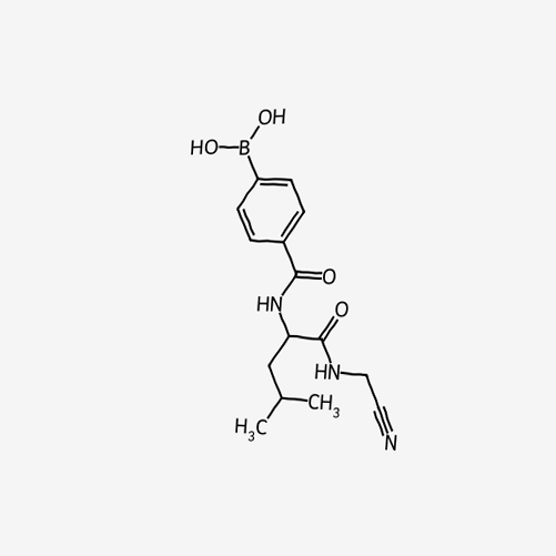 CC(C)CC(NC(=O)c1ccc(B(O)O)cc1)C(=O)NCC#N